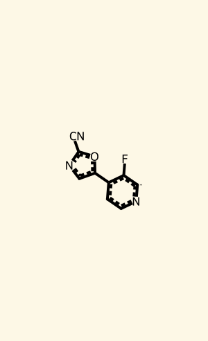 N#Cc1ncc(-c2ccn[c]c2F)o1